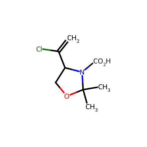 C=C(Cl)C1COC(C)(C)N1C(=O)O